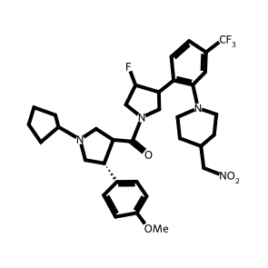 COc1ccc([C@@H]2CN(C3CCCC3)CC2C(=O)N2CC(F)C(c3ccc(C(F)(F)F)cc3N3CCC(C[N+](=O)[O-])CC3)C2)cc1